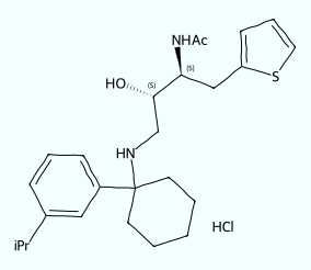 CC(=O)N[C@@H](Cc1cccs1)[C@@H](O)CNC1(c2cccc(C(C)C)c2)CCCCC1.Cl